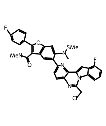 CNC(=O)c1c(-c2ccc(F)cc2)oc2cc(N(C)SC)c(-c3ccc4nc(CCl)n5c6cccc(F)c6cc5c4n3)cc12